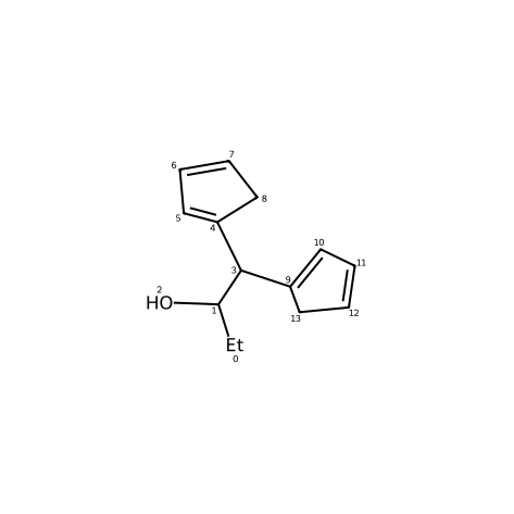 CCC(O)C(C1=CC=CC1)C1=CC=CC1